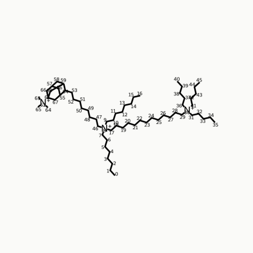 CCCCCCCC[N+](CCCCCCCC)(CCCCCCCCCCCCC[N+](CCCCC)(CCCCC)CCCCC)CCCCCCCCC1C2CC3CC1CC([N+](C)(C)C)(C3)C2